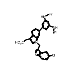 CC(C)Nc1cc(NC(C)C)cc(-c2ccc3c(CC(=O)O)cn(Cc4csc5ccc(Cl)cc45)c3c2)c1